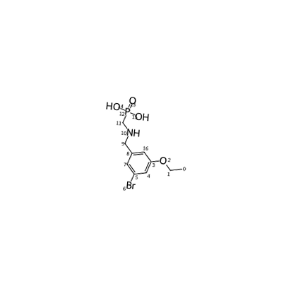 CCOc1cc(Br)cc(CNCP(=O)(O)O)c1